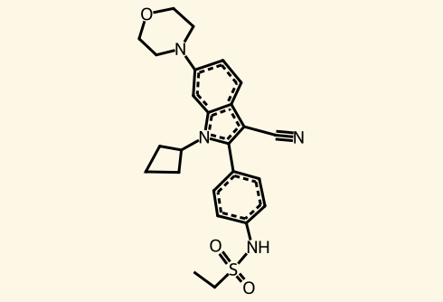 CCS(=O)(=O)Nc1ccc(-c2c(C#N)c3ccc(N4CCOCC4)cc3n2C2CCC2)cc1